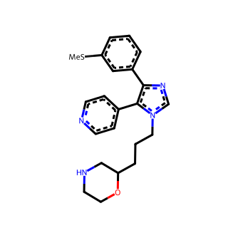 CSc1cccc(-c2ncn(CCCC3CNCCO3)c2-c2ccncc2)c1